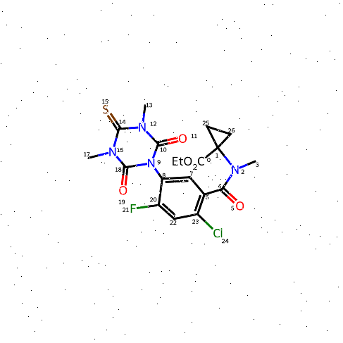 CCOC(=O)C1(N(C)C(=O)c2cc(-n3c(=O)n(C)c(=S)n(C)c3=O)c(F)cc2Cl)CC1